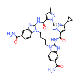 CCn1nc(C)cc1C(=O)Nc1nc2cc(C(N)=O)ccc2n1CCCCn1c(NC(=O)c2cc(C3CC3)nn2C)nc2cc(C(N)=O)ccc21